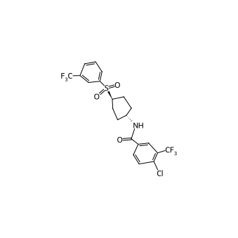 O=C(N[C@H]1CC[C@H](S(=O)(=O)c2cccc(C(F)(F)F)c2)CC1)c1ccc(Cl)c(C(F)(F)F)c1